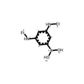 CCNc1cc(NCC)cc(B(O)O)c1